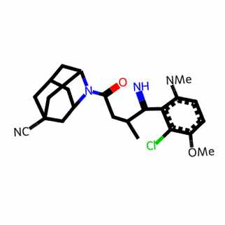 CNc1ccc(OC)c(Cl)c1C(=N)C(C)CC(=O)N1C2CC3CC1CC(C#N)(C3)C2